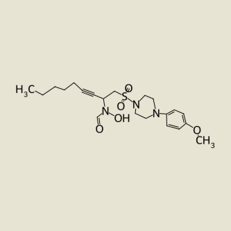 CCCCCC#CC(CS(=O)(=O)N1CCN(c2ccc(OC)cc2)CC1)N(O)C=O